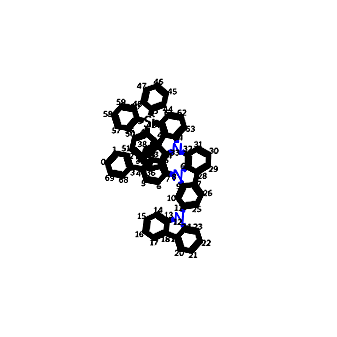 c1ccc(-c2ccc(-n3c4cc(-n5c6ccccc6c6ccccc65)ccc4c4cccc(-n5c6ccccc6c6c([Si](c7ccccc7)(c7ccccc7)c7ccccc7)cccc65)c43)cc2)cc1